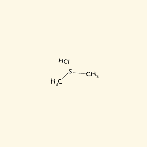 CSC.Cl